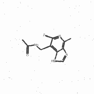 CC(=O)NCc1c(F)nc(C)c2nc[nH]c12